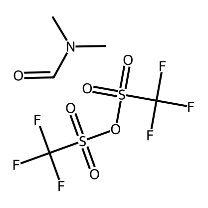 CN(C)C=O.O=S(=O)(OS(=O)(=O)C(F)(F)F)C(F)(F)F